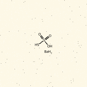 O=S(=O)(O)S.[BaH2]